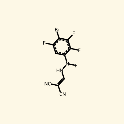 N#CC(C#N)=CNN(F)c1cc(F)c(Br)c(F)c1F